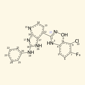 O/N=C(\Nc1ccc(F)c(Cl)c1)c1ccnc2nc(Nc3ccccc3)[nH]c12